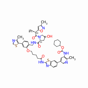 Cc1cc([C@@H](C(=O)N2C[C@H](O)C[C@H]2C(=O)NCc2ccc(-c3scnc3C)cc2OCCCCC(=O)Nc2nc3ccc(-c4cnc(C)c(NC(=O)OC5CCCCC5)c4)cc3s2)C(C)C)on1